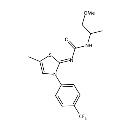 COCC(C)NC(=O)N=c1sc(C)cn1-c1ccc(C(F)(F)F)cc1